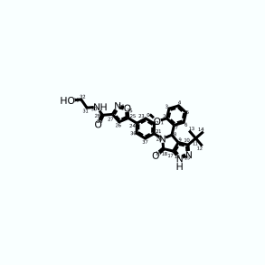 COc1ccccc1C1c2c(C(C)(C)C)n[nH]c2C(=O)N1c1ccc(-c2cc(C(=O)NCCO)no2)cc1